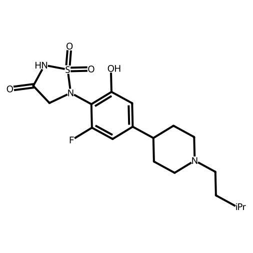 CC(C)CCN1CCC(c2cc(O)c(N3CC(=O)NS3(=O)=O)c(F)c2)CC1